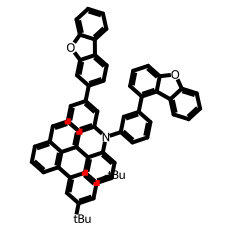 CC(C)(C)c1cc(-c2cccc3cccc(-c4ccccc4N(c4cccc(-c5ccc6c(c5)oc5ccccc56)c4)c4cccc(-c5cccc6oc7ccccc7c56)c4)c23)cc(C(C)(C)C)c1